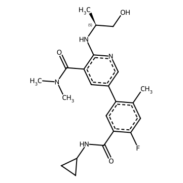 Cc1cc(F)c(C(=O)NC2CC2)cc1-c1cnc(N[C@@H](C)CO)c(C(=O)N(C)C)c1